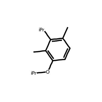 Cc1ccc(OC(C)C)c(C)c1C(C)C